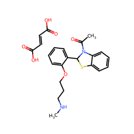 CNCCCOc1ccccc1C1Sc2ccccc2N1C(C)=O.O=C(O)C=CC(=O)O